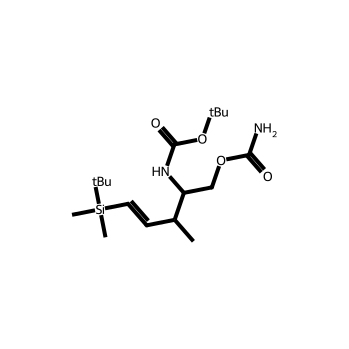 CC(C=C[Si](C)(C)C(C)(C)C)C(COC(N)=O)NC(=O)OC(C)(C)C